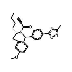 C#CC(=O)N1[C@@H](CCCC)Cc2cc(OC)ccc2[C@@H]1c1ccc(-c2nc(C)no2)cc1